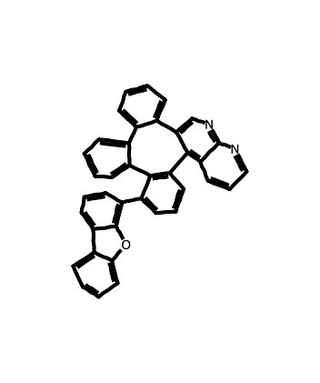 c1ccc2c(c1)-c1ccccc1-c1c(cccc1-c1cccc3c1oc1ccccc13)-c1c-2cnc2ncccc12